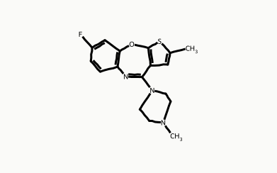 Cc1cc2c(s1)Oc1cc(F)ccc1N=C2N1CCN(C)CC1